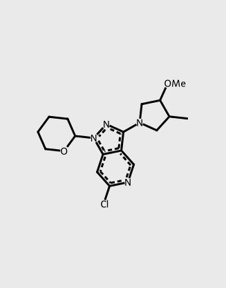 COC1CN(c2nn(C3CCCCO3)c3cc(Cl)ncc23)CC1C